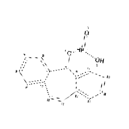 O=[PH](O)OC1c2ccccc2C=Cc2ccccc21